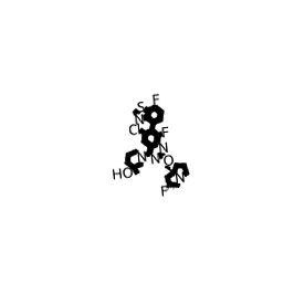 CC1(O)CCCN(c2nc(OC[C@@]34CCCN3C[C@H](F)C4)nc3c(F)c(-c4ccc(F)c5scnc45)c(Cl)cc23)C1